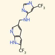 FC(F)(F)c1cc(NCc2cnc3[nH]c(C(F)(F)F)cc3c2)ncn1